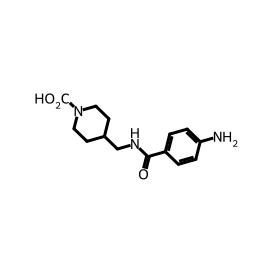 Nc1ccc(C(=O)NCC2CCN(C(=O)O)CC2)cc1